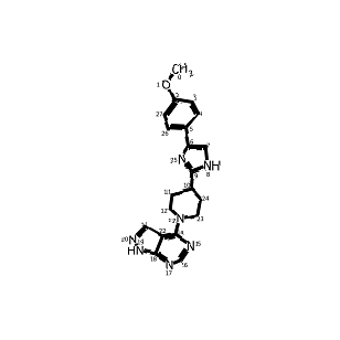 COc1ccc(-c2c[nH]c(C3CCN(c4ncnc5[nH]ncc45)CC3)n2)cc1